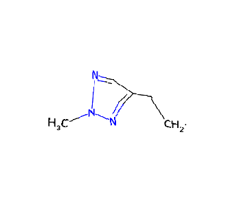 [CH2]Cc1cnn(C)n1